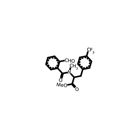 COC(=O)C(Cc1ccc(C(F)(F)F)cc1)N(C)C(=O)c1ccccc1C=O